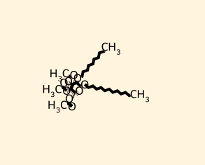 CCCCCCCCCCCCOC1O[C@H](COC(C)=O)[C@@H](OC(C)=O)[C@H](OC(C)=O)[C@H]1OCCCCCCCCCC